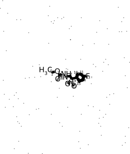 CCOC(=O)NNCC(c1ccc(F)cc1)[N+](=O)[O-]